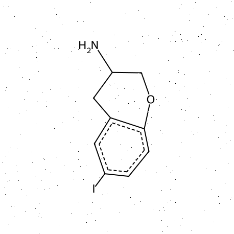 NC1COc2ccc(I)cc2C1